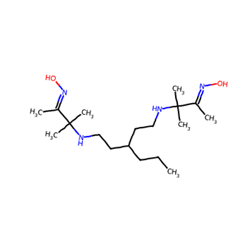 CCCC(CCNC(C)(C)/C(C)=N/O)CCNC(C)(C)/C(C)=N/O